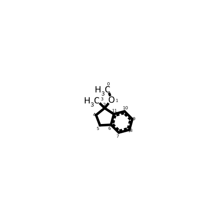 COC1(C)CCc2c[c]ccc21